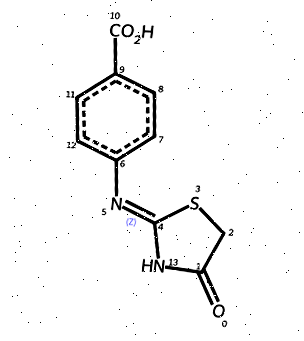 O=C1CS/C(=N\c2ccc(C(=O)O)cc2)N1